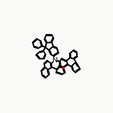 c1ccc(-c2c(N(c3ccc4c(c3)C(c3ccccc3)(c3ccccc3)c3ccccc3-4)c3ccc4c5ccccc5c5ccccc5c4c3)ccc3ccccc23)cc1